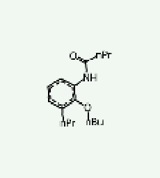 CCCCOc1c(CCC)cccc1NC(=O)CCC